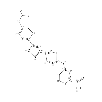 CC(C)Cc1ccc(-c2nc(-c3ccc(CN4CCC[C@@H](C(=O)O)C4)cc3)no2)cc1